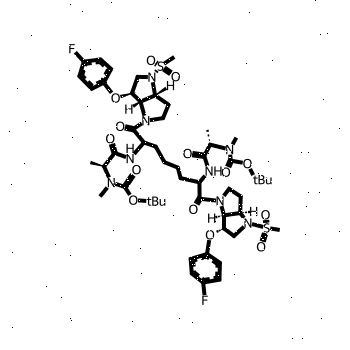 C[C@@H](C(=O)NC(CCCCC(NC(=O)[C@H](C)N(C)C(=O)OC(C)(C)C)C(=O)N1CC[C@@H]2[C@H]1[C@@H](Oc1ccc(F)cc1)CN2S(C)(=O)=O)C(=O)N1CC[C@@H]2[C@H]1[C@@H](Oc1ccc(F)cc1)CN2S(C)(=O)=O)N(C)C(=O)OC(C)(C)C